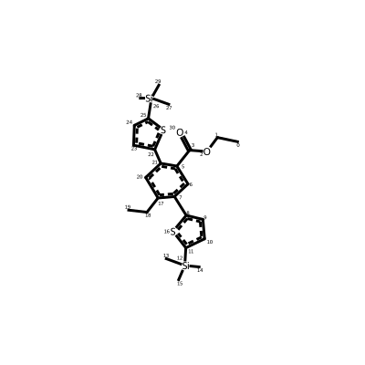 CCOC(=O)c1cc(-c2ccc([Si](C)(C)C)s2)c(CC)cc1-c1ccc([Si](C)(C)C)s1